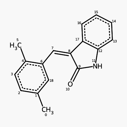 Cc1ccc(C)c(C=C2C(=O)Nc3ccccc32)c1